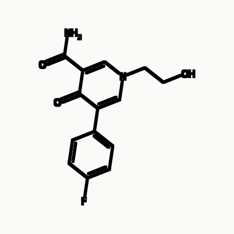 NC(=O)c1cn(CCO)cc(-c2ccc(F)cc2)c1=O